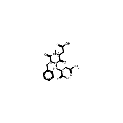 NC(=O)C[C@H](NN(C(=O)[C@@H](N)CC(=O)O)[C@@H](Cc1ccccc1)C(=O)O)C(=O)O